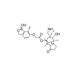 CC1C(O)C(C)(CN)CC(OC(=O)COc2ccc3c(c2F)B(O)OC3)C2(C)C(C)CCC13CCC(=O)C32